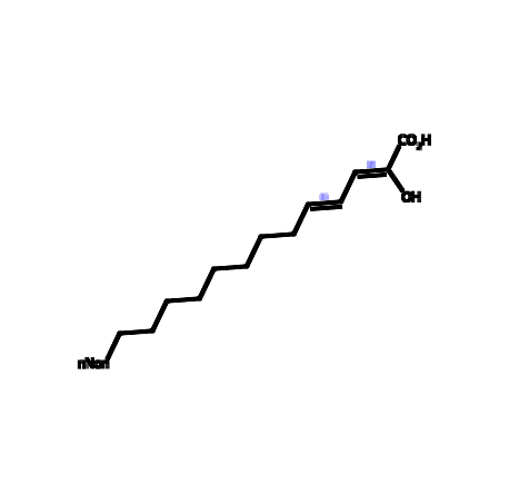 CCCCCCCCCCCCCCCCC/C=C/C=C(\O)C(=O)O